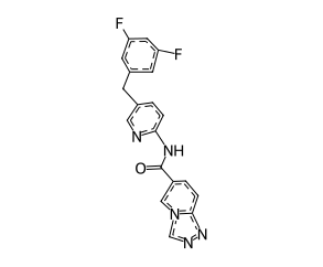 O=C(Nc1ccc(Cc2cc(F)cc(F)c2)cn1)c1ccc2nncn2c1